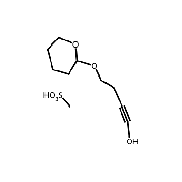 CS(=O)(=O)O.OC#CCCOC1CCCCO1